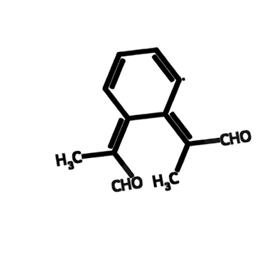 C/C(C=O)=c1\ccc[c]\c1=C(\C)C=O